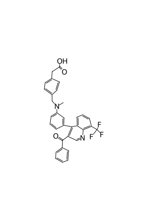 CN(Cc1ccc(CC(=O)O)cc1)c1cccc(-c2c(C(=O)c3ccccc3)cnc3c(C(F)(F)F)cccc23)c1